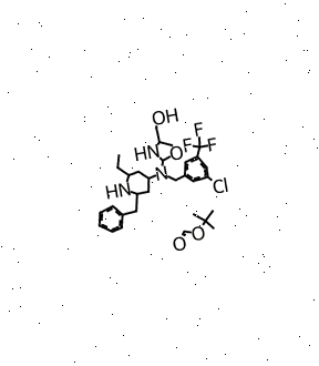 CC(C)(C)OC=O.CCC1CC(N(Cc2cc(Cl)cc(C(F)(F)F)c2)C2NC(CO)CO2)CC(Cc2ccccc2)N1